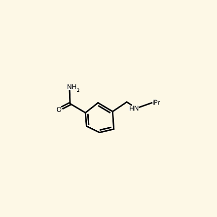 CC(C)NCc1cccc(C(N)=O)c1